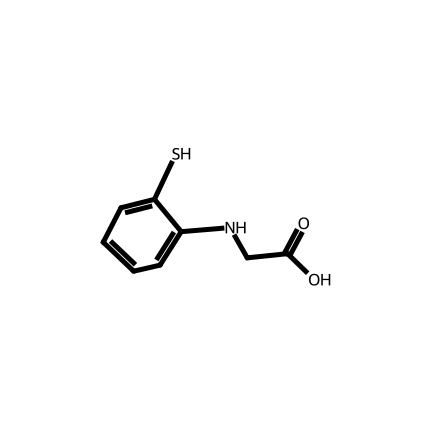 O=C(O)CNc1ccccc1S